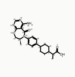 CC(C(=O)O)C1CCC(c2ccc(N3C(=O)c4c(N)ncnc4OC[C@@H]3C)cc2)CC1